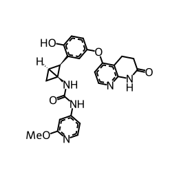 COc1cc(NC(=O)N[C@@]23C[C@H]2[C@H]3c2cc(Oc3ccnc4c3CCC(=O)N4)ccc2O)ccn1